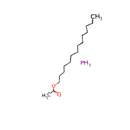 CCCCCCCCCCCCCCOC(C)=O.P